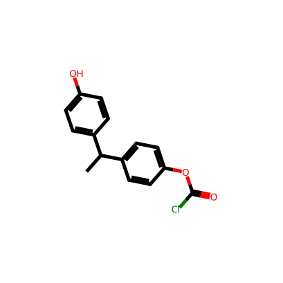 CC(c1ccc(O)cc1)c1ccc(OC(=O)Cl)cc1